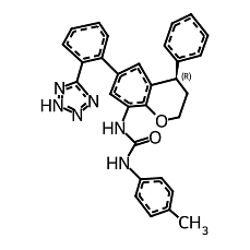 Cc1ccc(NC(=O)Nc2cc(-c3ccccc3-c3nn[nH]n3)cc3c2OCC[C@@H]3c2ccccc2)cc1